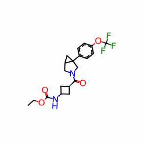 CCOC(=O)N[C@H]1C[C@@H](C(=O)N2CC3CC3(c3ccc(OC(F)(F)F)cc3)C2)C1